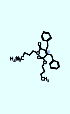 CCCCOC(=O)/C(Cc1ccccc1)=C(/Cc1ccccc1)C(=O)OCCCC.[SnH4]